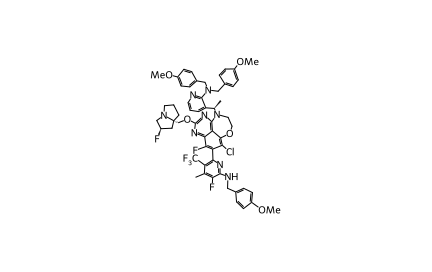 COc1ccc(CNc2nc(-c3c(Cl)c4c5c(nc(OC[C@@]67CCCN6C[C@H](F)C7)nc5c3F)N([C@H](C)c3cccnc3N(Cc3ccc(OC)cc3)Cc3ccc(OC)cc3)CCO4)c(C(F)(F)F)c(C)c2F)cc1